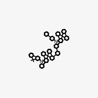 CC1(C)c2ccccc2-c2ccc(-n3c4ccccc4c4ccc5c(c43)-c3ccccc3C53c4ccccc4-c4c(-c5cccc(-c6ccc7c(c6)c6ccc8c(c6n7-c6ccc(-c7ccccc7)cc6)-c6ccccc6C86c7ccccc7-c7ccccc76)c5)cccc43)cc21